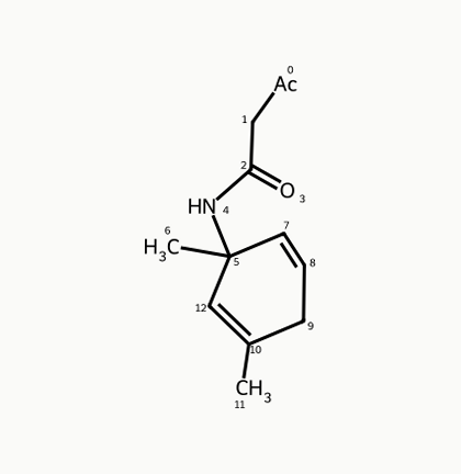 CC(=O)CC(=O)NC1(C)C=CCC(C)=C1